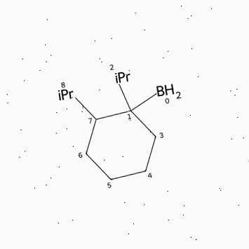 BC1(C(C)C)CCCCC1C(C)C